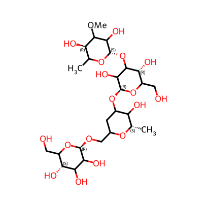 COC1C(O)[C@H](OC2C(O)[C@H](OC3CC(CO[C@@H]4OC(CO)[C@@H](O)C(O)C4O)O[C@@H](C)C3O)OC(CO)[C@H]2O)OC(C)[C@H]1O